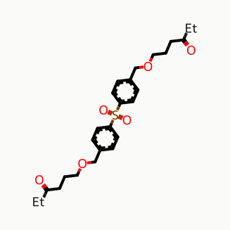 CCC(=O)CCCOCc1ccc(S(=O)(=O)c2ccc(COCCCC(=O)CC)cc2)cc1